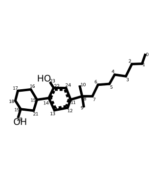 CCCCCCCCC(C)(C)c1ccc(C2CCCC(O)C2)c(O)c1